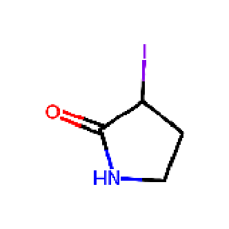 O=C1NCCC1I